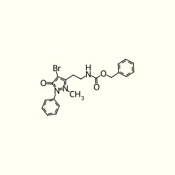 Cn1c(CCNC(=O)OCc2ccccc2)c(Br)c(=O)n1-c1ccccc1